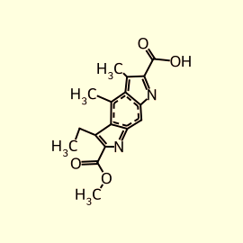 CCC1=C(C(=O)OC)N=c2cc3c(c(C)c21)=C(C)C(C(=O)O)=N3